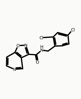 O=C(NCc1ccc(Cl)cc1Cl)c1noc2ccncc12